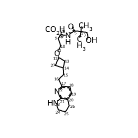 CC(C)(CO)C(=O)N[C@@H](CCOC1CC(CCc2ccc3c(n2)NCCC3)C1)C(=O)O